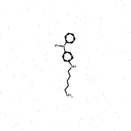 CC(C)N(c1ccccc1)c1ccc(NCCCCCN)cc1